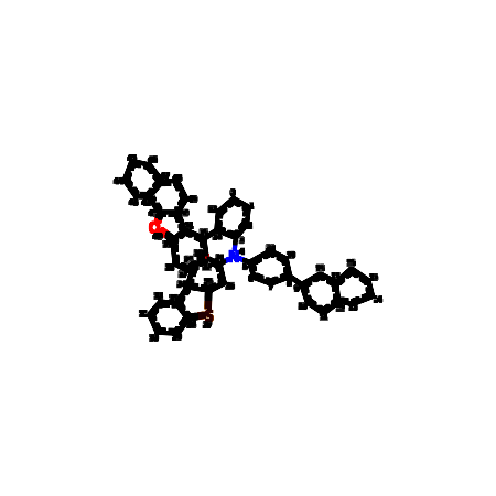 c1ccc(N(c2ccc(-c3ccc4ccccc4c3)cc2)c2ccc3c(c2)sc2ccccc23)c(-c2cccc3oc4c5ccccc5ccc4c23)c1